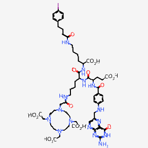 Nc1nc2ncc(CNc3ccc(C(=O)NC(CCC(=O)O)C(=O)NC(CCCCNC(=O)CN4CCN(CC(=O)O)CCN(CC(=O)O)CCN(CC(=O)O)CC4)C(=O)NC(CCCCNC(=O)CCCc4ccc(I)cc4)C(=O)O)cc3)nc2c(=O)[nH]1